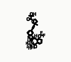 [2H]C([2H])([2H])N1C(=O)c2cccc(OC(F)F)c2[C@H]2C[C@@H]1c1nc3ccc(C#CC4(C)CCN(C(=O)C(C)(C)O)C4)cc3n12